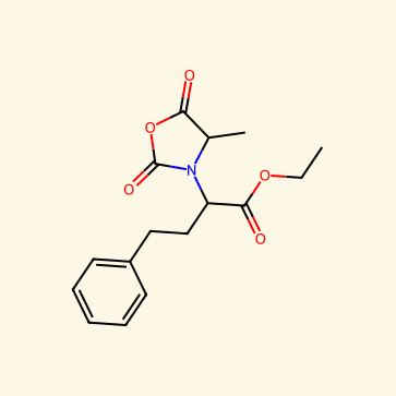 CCOC(=O)C(CCc1ccccc1)N1C(=O)OC(=O)C1C